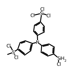 CS(Cl)(Cl)c1ccc(N(c2ccc([SiH2]Cl)cc2)c2ccc([Si](Cl)(Cl)Cl)cc2)cc1